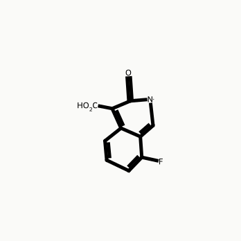 O=C(O)C1=c2cccc(F)c2=C[N]C1=O